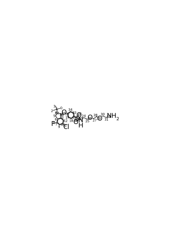 CC(C)(C)[C@@H]1Cc2c(F)cc(Cl)cc2[C@H]1Oc1ccc(S(=O)(=O)NCCOCCOCCN)cc1